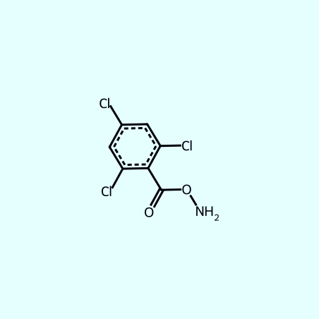 NOC(=O)c1c(Cl)cc(Cl)cc1Cl